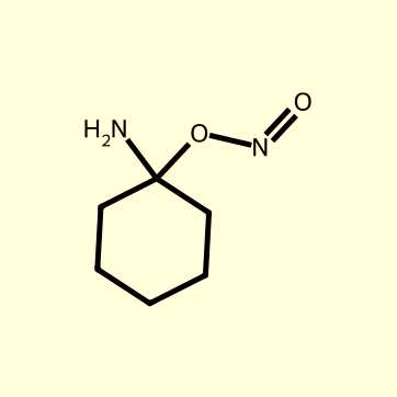 NC1(ON=O)CCCCC1